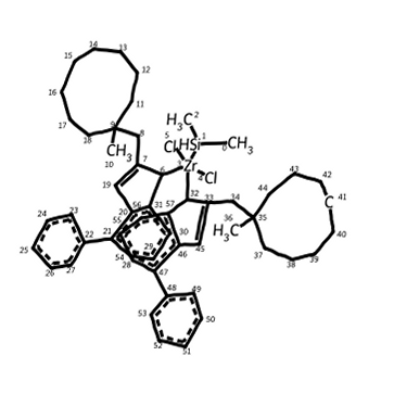 C[SiH](C)[Zr]([Cl])([Cl])([CH]1C(CC2(C)CCCCCCCC2)=Cc2c(-c3ccccc3)cccc21)[CH]1C(CC2(C)CCCCCCCC2)=Cc2c(-c3ccccc3)cccc21